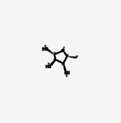 C[C@H]1O[C@@H](O)[C@H](O)[C@@H]1O